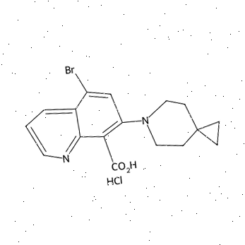 Cl.O=C(O)c1c(N2CCC3(CC2)CC3)cc(Br)c2cccnc12